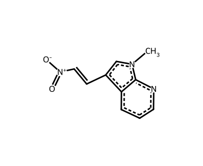 Cn1cc(/C=C/[N+](=O)[O-])c2cccnc21